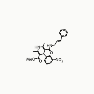 COC(=O)C1=C(C)NC(C)=C(C(=O)NC/C=C/c2ccccc2)C1c1cccc([N+](=O)[O-])c1